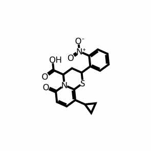 O=C(O)C1CC(c2ccccc2[N+](=O)[O-])Sc2c(C3CC3)ccc(=O)n21